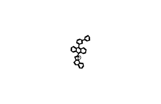 c1ccc(-c2cccc(-c3c4ccccc4c(-c4cc5ccc6ccccc6c5o4)c4ccccc34)c2)cc1